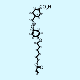 C=CC(=O)OCCCCCCOc1ccc(OOCC2CCC(C(=O)O)CC2)cc1